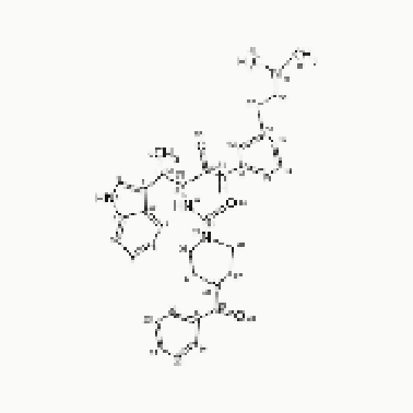 C[C@@H](c1c[nH]c2ccccc12)[C@@H](NC(=O)N1CCN(C(=O)c2ccccc2)CC1)C(=O)Nc1cccc(CCN(C)C)c1